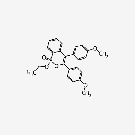 CCOP1(=O)OC(c2ccc(OC)cc2)=C(c2ccc(OC)cc2)c2ccccc21